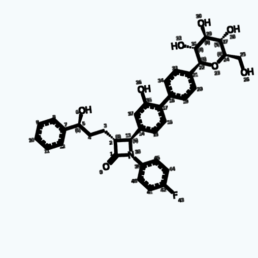 O=C1[C@H](CC[C@H](O)c2ccccc2)[C@@H](c2ccc(-c3ccc([C@@H]4O[C@H](CO)[C@@H](O)[C@H](O)[C@H]4O)cc3)c(O)c2)N1c1ccc(F)cc1